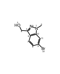 Cn1nc(CO)c2ccc(Br)cc21